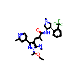 C=Nc1c(/C=C(\C)C(=O)N[C@@H]2CN(C)C[C@H]2c2ccccc2C(F)(F)F)c(-c2ccnc(C)c2)nn1C(C)OCC